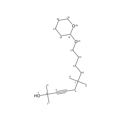 CC(C)(O)C#CCC(C)(C)CCCCOC1CCCCO1